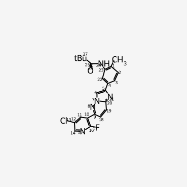 Cc1ccc(-c2cn3nc(-c4cc(Cl)cnc4F)ccc3n2)cc1NC(=O)C(C)(C)C